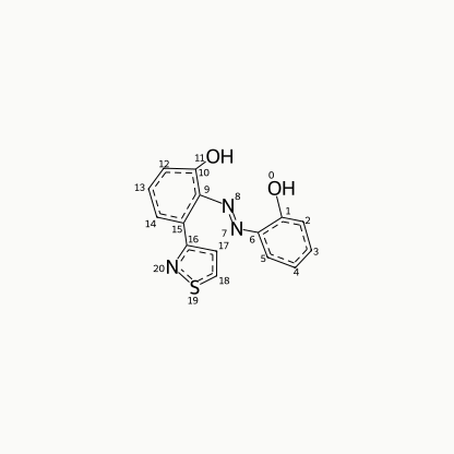 Oc1ccccc1N=Nc1c(O)cccc1-c1ccsn1